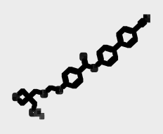 CCC1(COCOc2ccc(C(=O)Oc3ccc(-c4ccc(C#N)cc4)cc3)cc2)COC1